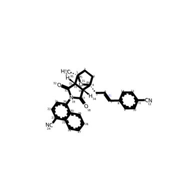 C[C@]12CC[C@](C/C=C/c3ccc(C#N)cc3)(O1)[C@@H]1C(=O)N(c3ccc(C#N)c4ccccc34)C(=O)[C@@H]12